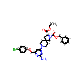 CCOC(=O)[C@@H]1CC2(CCN(c3cc(COc4ccc(Br)cc4)nc(N)n3)CC2)CN1C(=O)OCc1ccccc1